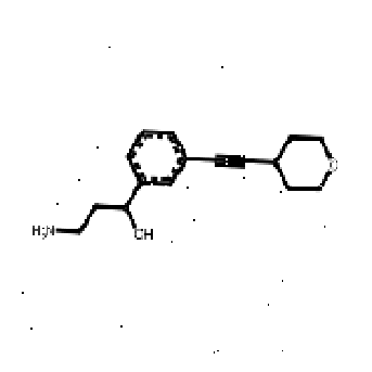 NCCC(O)c1cccc(C#CC2CCOCC2)c1